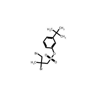 CC(Br)(CBr)CS(=O)(=O)Oc1cccc(C(C)(C)C)c1